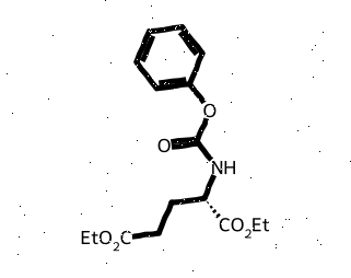 CCOC(=O)CC[C@H](NC(=O)Oc1ccccc1)C(=O)OCC